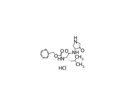 CC(C)C[C@H](NC(=O)OCc1ccccc1)C(=O)NC1CNCC1=O.Cl